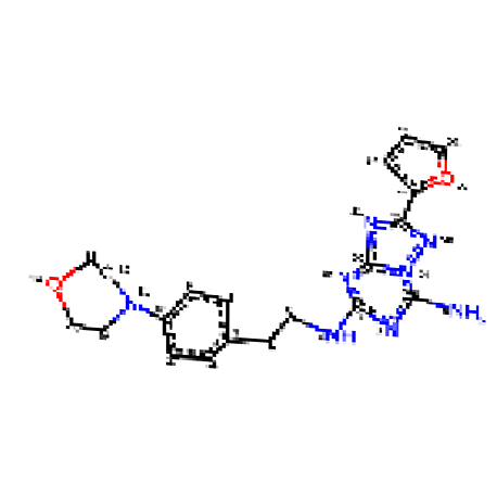 Nc1nc(NCCc2ccc(N3CCOCC3)cc2)nc2nc(-c3ccco3)nn12